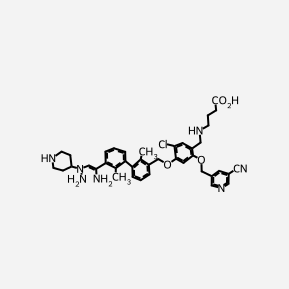 Cc1c(COc2cc(OCc3cncc(C#N)c3)c(CNCCCC(=O)O)cc2Cl)cccc1-c1cccc(/C(N)=C/N(N)C2CCNCC2)c1C